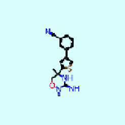 CN1OCC(C)(c2cc(-c3cccc(C#N)c3)cs2)NC1=N